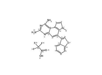 Cn1ccc2c3c(N)nc(N)nc3cc(-c3csc4ccccc34)c21.O=C(O)C(F)(F)F